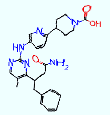 Cc1cnc(Nc2ccc(C3CCN(C(=O)O)CC3)nc2)nc1C(CC(N)=O)Cc1ccccc1